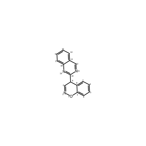 [C]1=NOc2ccccc2C1c1ncc2ccccc2n1